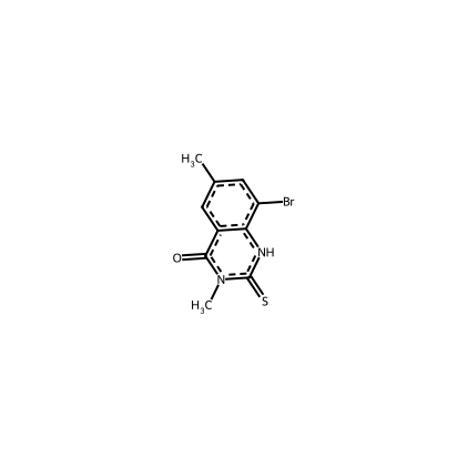 Cc1cc(Br)c2[nH]c(=S)n(C)c(=O)c2c1